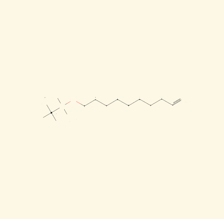 C=CCCCCCCCCO[Si](C)(C)C(C)(C)C